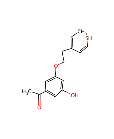 C/C=C(\C=C/S)CCOc1cc(O)cc(C(C)=O)c1